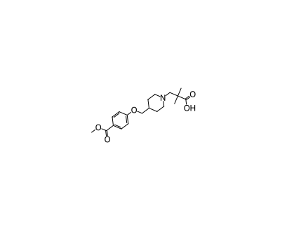 COC(=O)c1ccc(OCC2CCN(CC(C)(C)C(=O)O)CC2)cc1